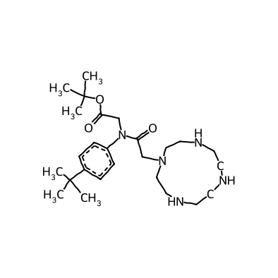 CC(C)(C)OC(=O)CN(C(=O)CN1CCNCCNCCNCC1)c1ccc(C(C)(C)C)cc1